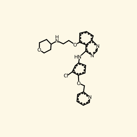 Clc1cc(Nc2ncnc3cccc(OCCNC4CCOCC4)c23)ccc1OCc1ccccn1